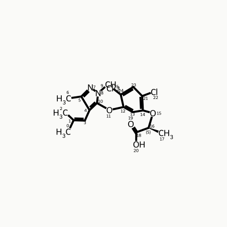 CC(C)=Cc1c(C)nn(C)c1Oc1cc(O[C@@H](C)C(=O)O)c(Cl)cc1Cl